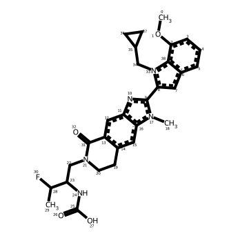 COc1cccc2cc(-c3nc4cc5c(cc4n3C)CCN(CC(NC(=O)O)C(C)F)C5=O)n(CC3CC3)c12